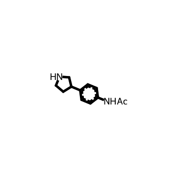 CC(=O)Nc1ccc(C2CCNC2)cc1